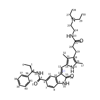 CC[C@@H](NC(=O)c1ccc2c(c1)/C(=C/c1[nH]c(C)c(CCC(=O)NCCN(CC)CC)c1C)C(=O)N2)c1ccccc1